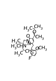 COc1ccc(F)cc1CCc1cc(/C(C)=C/OC(C)C)c(=O)n(C[C@@H](NCC(C)C)C(C)C)n1